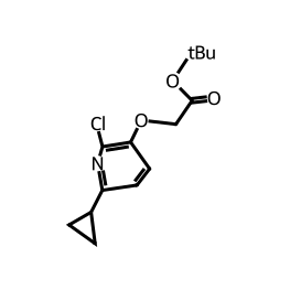 CC(C)(C)OC(=O)COc1ccc(C2CC2)nc1Cl